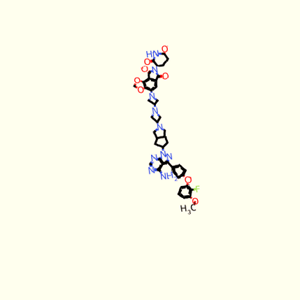 COc1cccc(Oc2ccc(-c3nn(C4CC5CN(C6CN(C7CN(c8cc9c(c%10c8OCO%10)C(=O)N(C8CCC(=O)NC8=O)C9=O)C7)C6)CC5C4)c4ncnc(N)c34)cc2)c1F